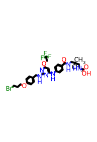 CC(C)(CNC(=O)O)CNC(=O)c1ccc(Nc2cc(OCC(F)(F)F)nc(NCc3ccc(OCCCBr)cc3)n2)cc1